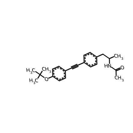 CC(=O)NC(C)Cc1ccc(C#Cc2ccc(OC(C)(C)C)cc2)cc1